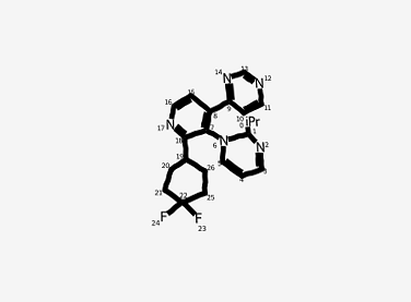 CC(C)C1N=CC=CN1c1c(-c2ccncn2)ccnc1C1CCC(F)(F)CC1